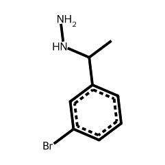 CC(NN)c1cccc(Br)c1